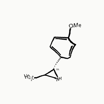 COc1ccc([C@@H]2NC2C(=O)O)cc1